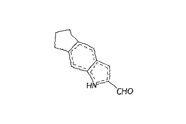 O=Cc1cc2cc3c(cc2[nH]1)CCC3